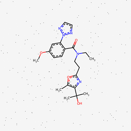 CCN(CCc1nc(C(C)(C)O)c(C)o1)C(=O)c1ccc(OC)cc1-n1nccn1